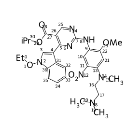 CCOn1cc(-c2nc(Nc3cc([N+](=O)[O-])c(N(C)CCN(C)C)cc3OC)ncc2C(=O)OC(C)C)c2ccccc21